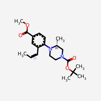 C/C=C\c1cc(C(=O)OC)ccc1N1CCN(C(=O)OC(C)(C)C)C[C@H]1C